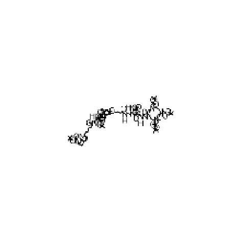 Cc1cc(OCCCC(=O)NCCNC(=O)[C@H](CS(=O)(=O)O)NC(=O)CN2CCN(CC(=O)OC(C)(C)C)CCN(CC(=O)OC(C)(C)C)CCN(CC(=O)OC(C)(C)C)CC2)cc(C)c1S(=O)(=O)N[C@H](CNC(=O)CCCCc1ccc2c(n1)N(C(=O)OC(C)(C)C)CCC2)C(=O)OC(C)(C)C